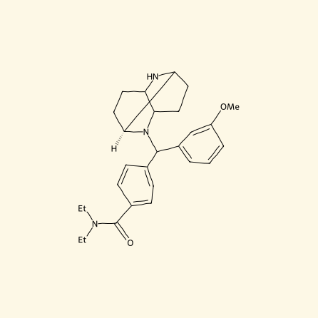 CCN(CC)C(=O)c1ccc(C(c2cccc(OC)c2)N2C3CCC4NC3CC[C@@H]42)cc1